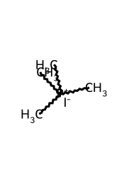 CCCCCCCCCCCC[P+](CCCCCCCCCCCC)(CCCCCCCCCCCC)CCCCCCCCCCCC.[I-]